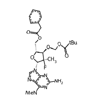 CNc1nc(N)nc2c1ncn2[C@@H]1O[C@H](COC(=O)Cc2ccccc2)[C@@H](OCOC(=O)C(C)(C)C)[C@@]1(C)F